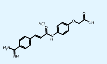 Cl.N=C(N)c1ccc(/C=C/C(=O)Nc2ccc(OCC(=O)O)cc2)cc1